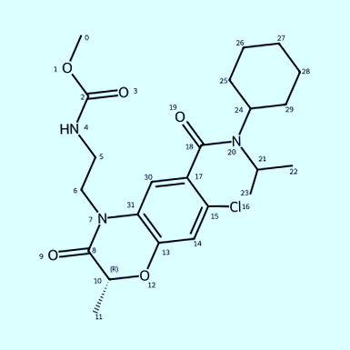 COC(=O)NCCN1C(=O)[C@@H](C)Oc2cc(Cl)c(C(=O)N(C(C)C)C3CCCCC3)cc21